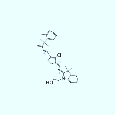 C=C(/C=C/C1=C(Cl)C(=C/C=C2/N(CCO)c3ccccc3C2(C)C)/CC1)C(C)(C)c1ccccc1C